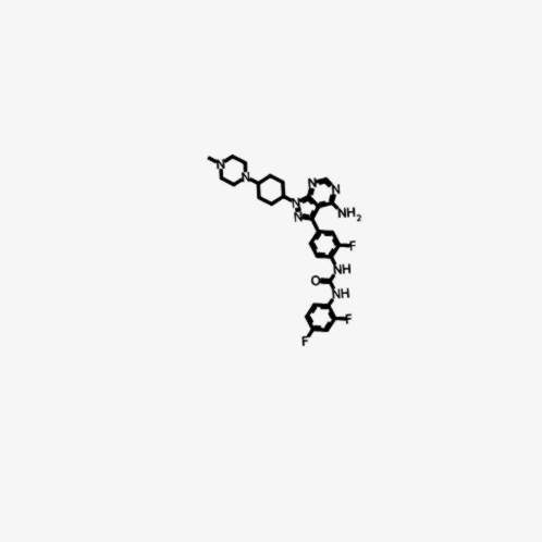 CN1CCN(C2CCC(n3nc(-c4ccc(NC(=O)Nc5ccc(F)cc5F)c(F)c4)c4c(N)ncnc43)CC2)CC1